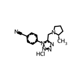 C[C@@H]1CCCN1Cc1nnnn1-c1ccc(C#N)cc1.Cl